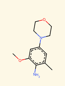 COc1cc(N2CCOCC2)cc(C)c1N